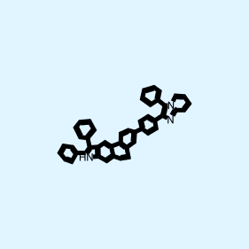 c1ccc(-c2[nH]c3cc4ccc5cc(-c6ccc(-c7nc8ccccn8c7-c7ccccc7)cc6)ccc5c4cc3c2-c2ccccc2)cc1